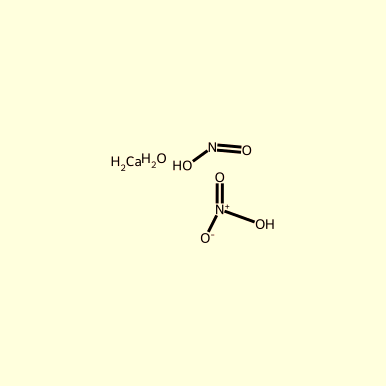 O.O=NO.O=[N+]([O-])O.[CaH2]